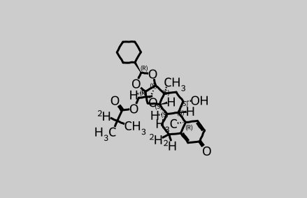 [2H]C(C)(C)C(=O)OCC(=O)[C@@]12O[C@H](C3CCCCC3)O[C@@H]1C[C@H]1[C@@H]3CC([2H])([2H])C4=CC(=O)C=C[C@]4(C)[C@H]3[C@@H](O)C[C@@]12C